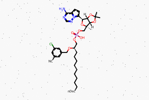 CCCCCCCCCCCCCCCCCCC[C@H](COP(=O)(O)OC[C@@]1(C)O[C@@H](c2ccc3c(N)ncnn23)[C@@H]2OC(C)(C)O[C@@H]21)OCc1cc(Cl)cc(C#N)c1